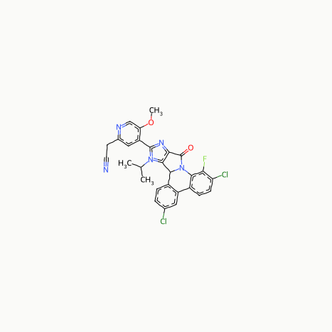 COc1cnc(CC#N)cc1-c1nc2c(n1C(C)C)C1c3ccc(Cl)cc3-c3ccc(Cl)c(F)c3N1C2=O